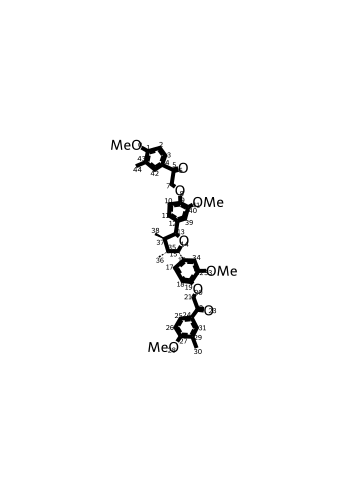 COc1ccc(C(=O)COc2ccc(C3O[C@H](c4ccc(OCC(=O)c5ccc(OC)c(C)c5)c(OC)c4)[C@H](C)[C@H]3C)cc2OC)cc1C